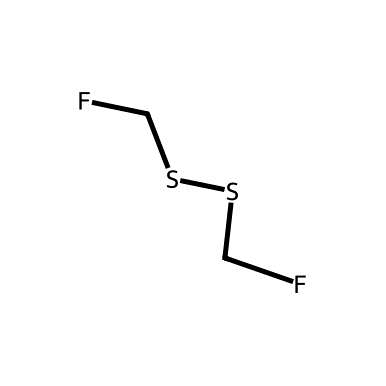 FCSSCF